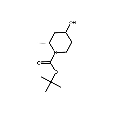 C[C@@H]1CC(O)CCN1C(=O)OC(C)(C)C